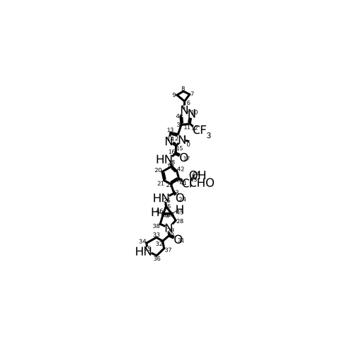 Cn1c(-c2cn(C3CCC3)nc2C(F)(F)F)cnc1C(=O)Nc1ccc(C(=O)NC2[C@H]3CN(C(=O)C4CCNCC4)C[C@@H]23)c(Cl)c1.O=CO